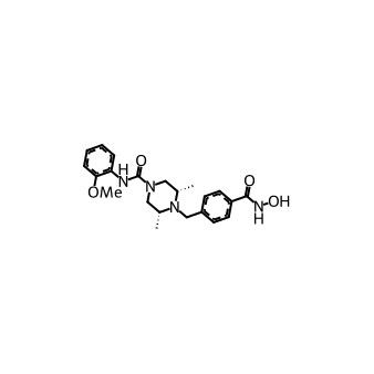 COc1ccccc1NC(=O)N1C[C@@H](C)N(Cc2ccc(C(=O)NO)cc2)[C@@H](C)C1